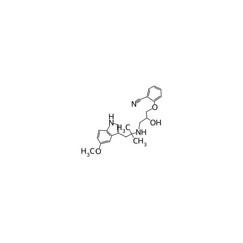 COc1ccc2[nH]cc(CC(C)(C)NCC(O)COc3ccccc3C#N)c2c1